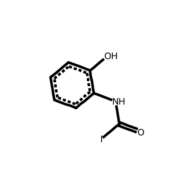 O=C(I)Nc1ccccc1O